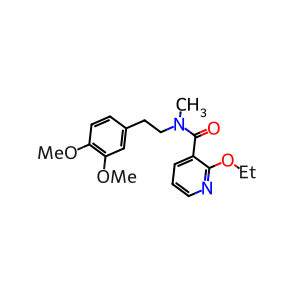 CCOc1ncccc1C(=O)N(C)CCc1ccc(OC)c(OC)c1